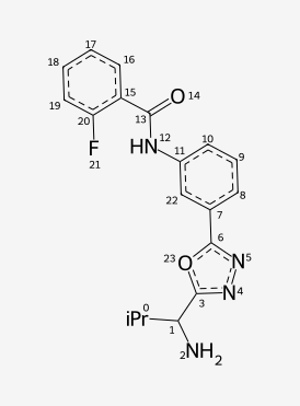 CC(C)C(N)c1nnc(-c2cccc(NC(=O)c3ccccc3F)c2)o1